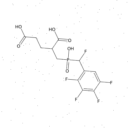 O=C(O)CCC(CP(=O)(O)C(F)c1cc(F)c(F)c(F)c1F)C(=O)O